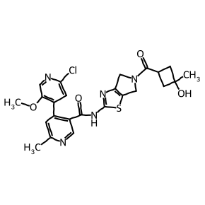 COc1cnc(Cl)cc1-c1cc(C)ncc1C(=O)Nc1nc2c(s1)CN(C(=O)C1CC(C)(O)C1)C2